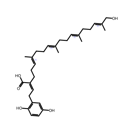 C/C(=C\CC/C(C)=C/CC/C(C)=C/CC/C(C)=C/CCC(=CCc1cc(O)ccc1O)C(=O)O)CO